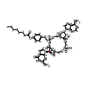 CCCCCCCC(=O)Oc1ccc(CSP2(=O)OC[C@H]3O[C@@H](n4cnc5c(N)ncnc54)[C@H](F)[C@@H]3OCP(=O)(O)OC[C@H]3O[C@@H](n4cnc5c(=O)[nH]c(N)nc54)[C@H](O2)[C@@H]3F)cc1